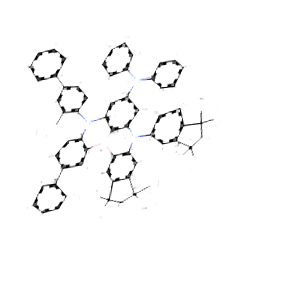 Cc1cc(-c2ccccc2)ccc1N1c2ccc(-c3ccccc3)cc2B2c3cc4c(cc3N(c3ccc5c(c3)C(C)(C)CC5(C)C)c3cc(N(c5ccccc5)c5ccccc5)cc1c32)C(C)(C)CC4(C)C